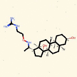 CC(NOCCNC(=N)N)[C@H]1CC[C@]2(O)[C@@H]3CC[C@@H]4C[C@@H](O)CC[C@]4(C)[C@H]3CC[C@]12C